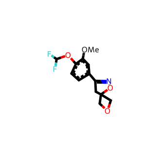 COc1cc(C2=NOC3(COC3)C2)ccc1OC(F)F